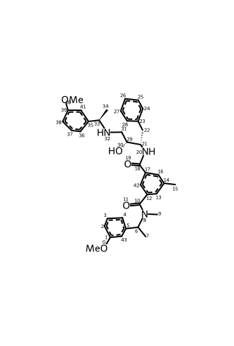 COc1cccc(C(C)N(C)C(=O)c2cc(C)cc(C(=O)N[C@@H](Cc3ccccc3)[C@H](O)CN[C@H](C)c3cccc(OC)c3)c2)c1